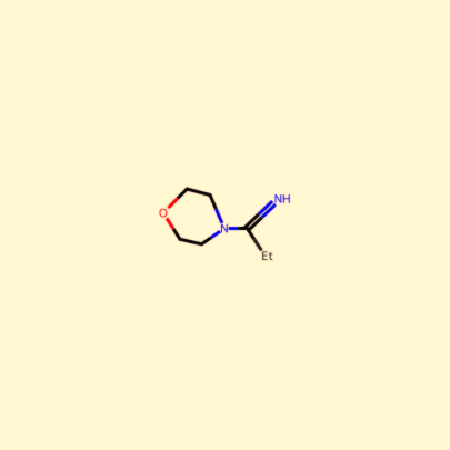 CCC(=N)N1CCOCC1